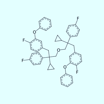 Fc1ccc(C(COCC(Cc2ccc(F)c(Oc3ccccc3)c2)(c2ccc(F)cc2)C2CC2)(Cc2ccc(F)c(Oc3ccccc3)c2)C2CC2)cc1